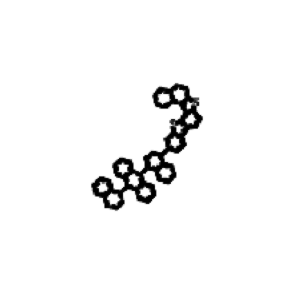 c1ccc2c(-c3c4ccccc4c(-c4ccc(-c5ccc6c(c5)sc5c6ccc6sc7ccc8ccccc8c7c65)c5ccccc45)c4ccccc34)cccc2c1